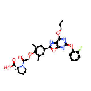 CCCOc1nc(Oc2ccccc2F)nc2oc(-c3cc(C)c(OCC(=O)N4CCC[C@H]4C(=O)O)c(C)c3)nc12